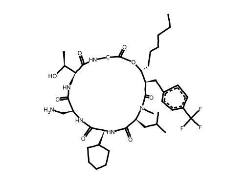 CCCCCC[C@H]1OC(=O)CNC(=O)[C@H]([C@H](C)O)NC(=O)[C@H](CN)NC(=O)[C@H](C2CCCCC2)NC(=O)[C@H](CC(C)C)N(C)C(=O)[C@@H]1Cc1ccc(C(F)(F)F)cc1